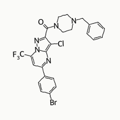 O=C(c1nn2c(C(F)(F)F)cc(-c3ccc(Br)cc3)nc2c1Cl)N1CCN(Cc2ccccc2)CC1